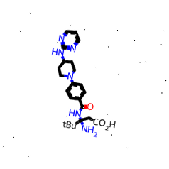 CC(C)(C)C(N)(CC(=O)O)NC(=O)c1ccc(N2CCC(Nc3ncccn3)CC2)cc1